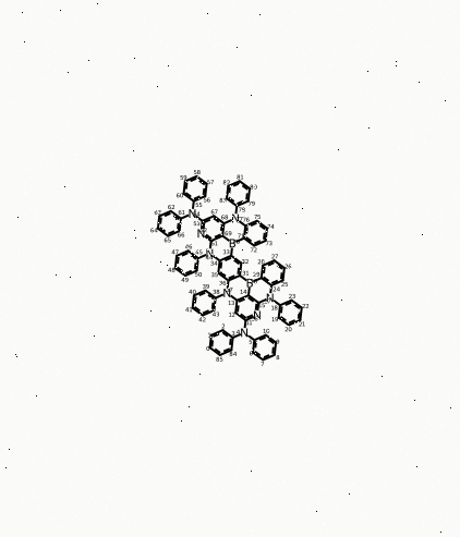 c1ccc(N(c2ccccc2)c2cc3c4c(n2)N(c2ccccc2)c2ccccc2B4c2cc4c(cc2N3c2ccccc2)N(c2ccccc2)c2nc(N(c3ccccc3)c3ccccc3)cc3c2B4c2ccccc2N3c2ccccc2)cc1